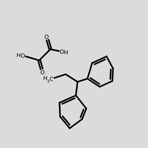 CCC(c1ccccc1)c1ccccc1.O=C(O)C(=O)O